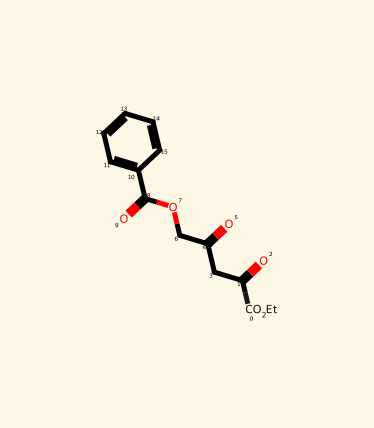 CCOC(=O)C(=O)CC(=O)COC(=O)c1ccccc1